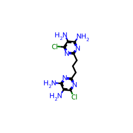 Nc1nc(CCCc2nc(N)c(N)c(Cl)n2)nc(Cl)c1N